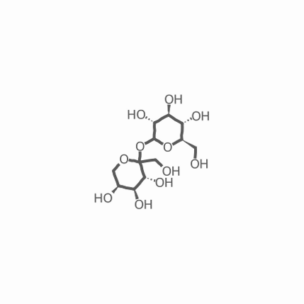 OC[C@H]1OC(OC2(CO)OC[C@H](O)[C@H](O)[C@H]2O)[C@H](O)[C@@H](O)[C@@H]1O